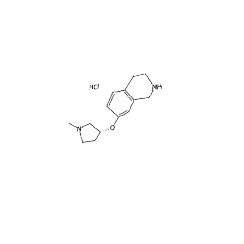 CN1CC[C@@H](Oc2ccc3c(c2)CNCC3)C1.Cl